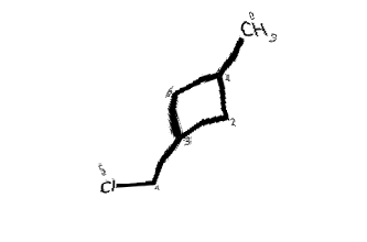 CC1CC(CCl)C1